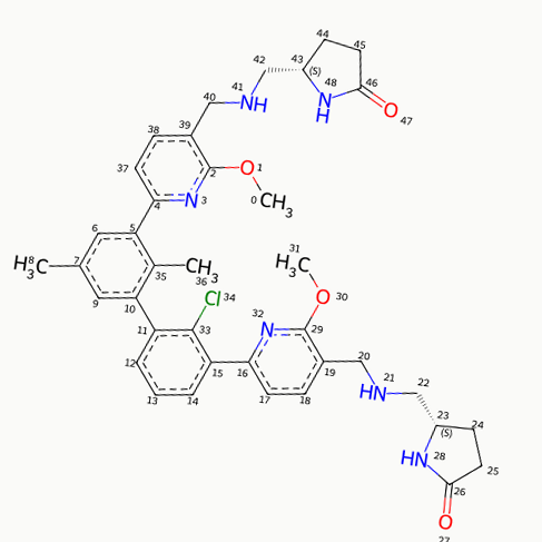 COc1nc(-c2cc(C)cc(-c3cccc(-c4ccc(CNC[C@@H]5CCC(=O)N5)c(OC)n4)c3Cl)c2C)ccc1CNC[C@@H]1CCC(=O)N1